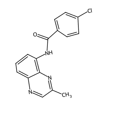 Cc1cnc2cccc(NC(=O)c3ccc(Cl)cc3)c2n1